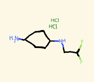 Cl.Cl.NC1CCC(NCC(F)F)CC1